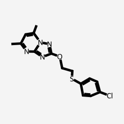 Cc1cc(C)n2nc(OCCSc3ccc(Cl)cc3)nc2n1